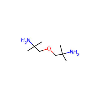 CC(C)(N)COCC(C)(C)N